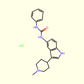 CN1CCC(c2c[nH]c3ccc(NC(=O)Nc4ccccc4)cc23)CC1.Cl